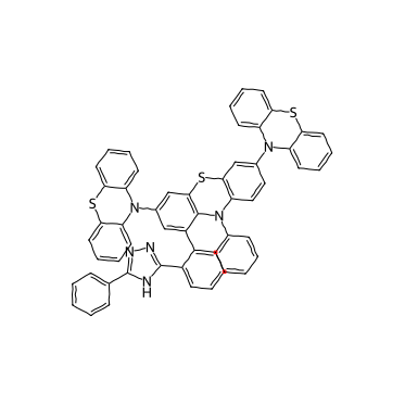 c1ccc(-c2nnc(-c3ccccc3-c3cc(N4c5ccccc5Sc5ccccc54)cc4c3N(c3ccccc3)c3ccc(N5c6ccccc6Sc6ccccc65)cc3S4)[nH]2)cc1